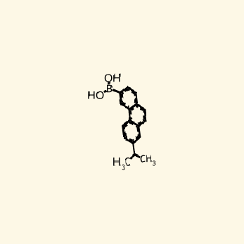 CC(C)c1ccc2c(ccc3ccc(B(O)O)cc32)c1